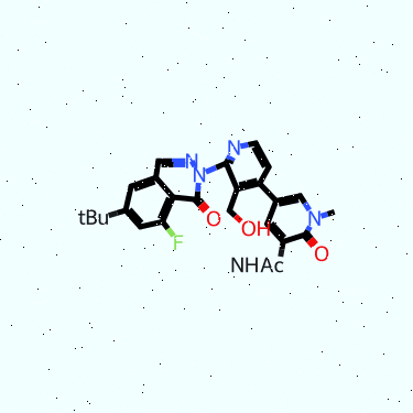 CC(=O)Nc1cc(-c2ccnc(-n3ncc4cc(C(C)(C)C)cc(F)c4c3=O)c2CO)cn(C)c1=O